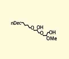 CCCCCCCCCCCCCCOCC(O)COCC(CO)OC